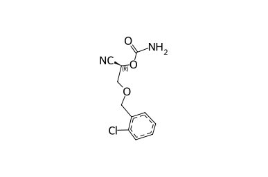 N#C[C@H](COCc1ccccc1Cl)OC(N)=O